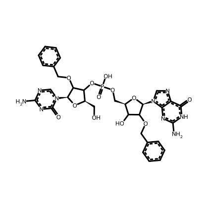 Nc1ncn([C@@H]2O[C@H](CO)C(OP(=O)(O)OC[C@H]3O[C@@H](n4cnc5c(=O)[nH]c(N)nc54)C(OCc4ccccc4)C3O)C2OCc2ccccc2)c(=O)n1